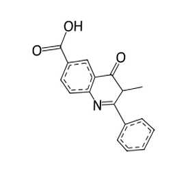 CC1C(=O)c2cc(C(=O)O)ccc2N=C1c1ccccc1